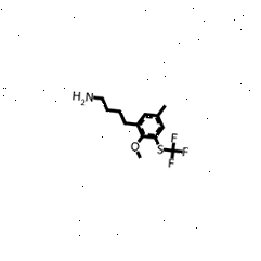 COc1c(CCCCN)cc(C)cc1SC(F)(F)F